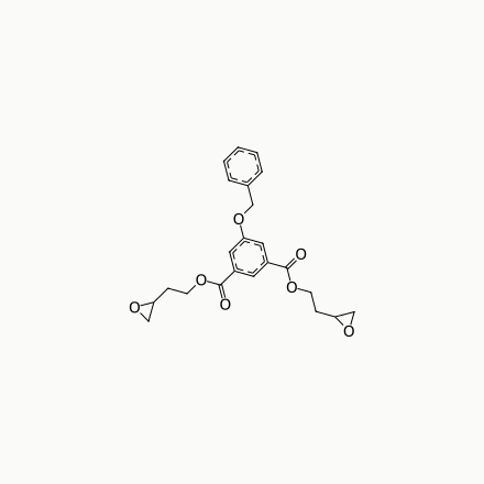 O=C(OCCC1CO1)c1cc(OCc2ccccc2)cc(C(=O)OCCC2CO2)c1